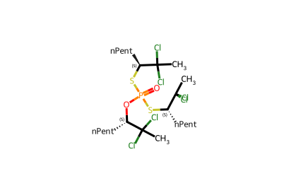 CCCCC[C@H](OP(=O)(S[C@@H](CCCCC)C(C)(Cl)Cl)S[C@@H](CCCCC)C(C)(Cl)Cl)C(C)(Cl)Cl